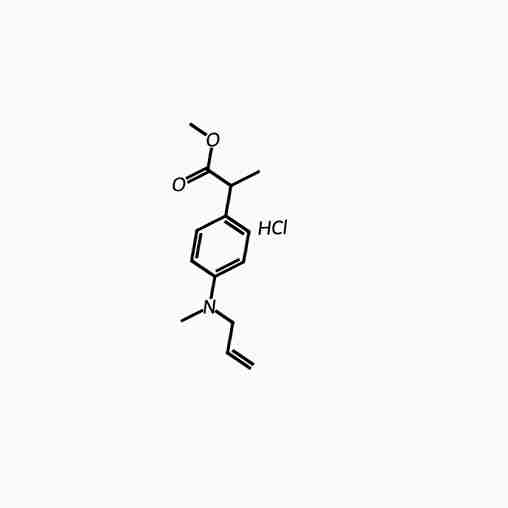 C=CCN(C)c1ccc(C(C)C(=O)OC)cc1.Cl